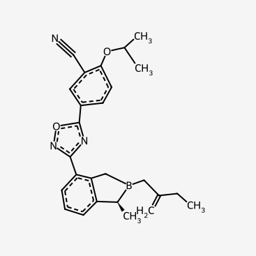 C=C(CC)CB1Cc2c(-c3noc(-c4ccc(OC(C)C)c(C#N)c4)n3)cccc2[C@@H]1C